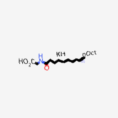 CCCCCCCC/C=C\CCCCCCCC(=O)NCC(=O)O.[KH]